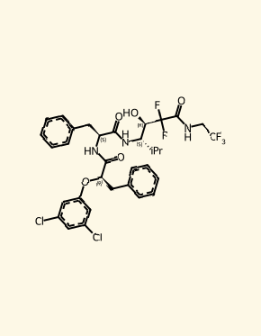 CC(C)[C@H](NC(=O)[C@H](Cc1ccccc1)NC(=O)[C@@H](Cc1ccccc1)Oc1cc(Cl)cc(Cl)c1)[C@@H](O)C(F)(F)C(=O)NCC(F)(F)F